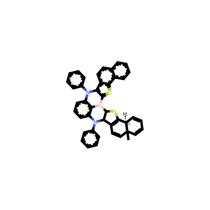 CC12C=CC=C[C@@H]1C1=C(C=C2)C2C(S1)B1c3sc4c(ccc5ccccc54)c3N(c3ccccc3)c3cccc(c31)N2c1ccccc1